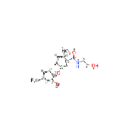 O=C(NCCO)c1cc(Oc2ccc(C(F)(F)F)cc2Br)ccc1[N+](=O)[O-]